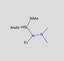 CCN(N(C)C)[SiH](NC)NC